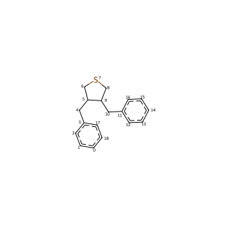 c1ccc(CC2CSCC2Cc2ccccc2)cc1